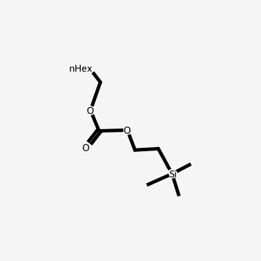 CCCCCCCOC(=O)OCC[Si](C)(C)C